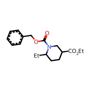 CCOC(=O)C1CCC(CC)N(C(=O)OCc2ccccc2)C1